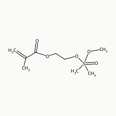 C=C(C)C(=O)OCCOS(C)(C)(=O)OC